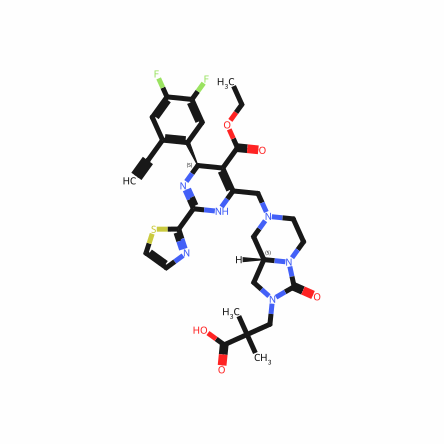 C#Cc1cc(F)c(F)cc1[C@@H]1N=C(c2nccs2)NC(CN2CCN3C(=O)N(CC(C)(C)C(=O)O)C[C@@H]3C2)=C1C(=O)OCC